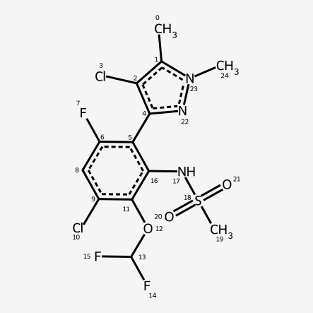 Cc1c(Cl)c(-c2c(F)cc(Cl)c(OC(F)F)c2NS(C)(=O)=O)nn1C